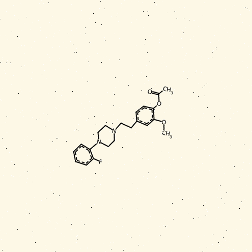 COc1cc(CCN2CCN(c3ccccc3F)CC2)ccc1OC(C)=O